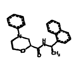 C[C@@H](NC(=O)C1CN(c2ccccc2)CCO1)c1cccc2ccccc12